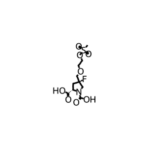 CS(=O)(=O)OCCOC[C@@]1(F)C[C@@H](C(=O)O)N(C(=O)O)C1